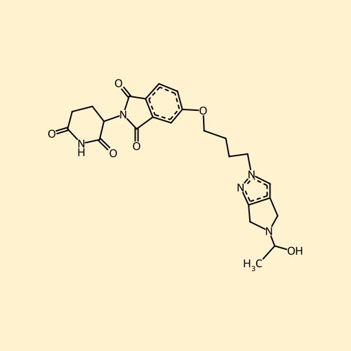 CC(O)N1Cc2cn(CCCCOc3ccc4c(c3)C(=O)N(C3CCC(=O)NC3=O)C4=O)nc2C1